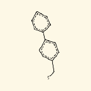 [S]Cc1ccc(-c2ccccc2)cc1